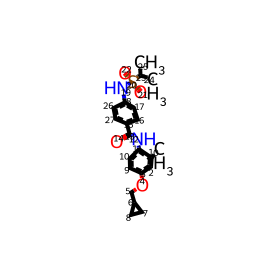 Cc1cc(OCC2CC2)ccc1NC(=O)c1ccc(NS(=O)(=O)C(C)C)cc1